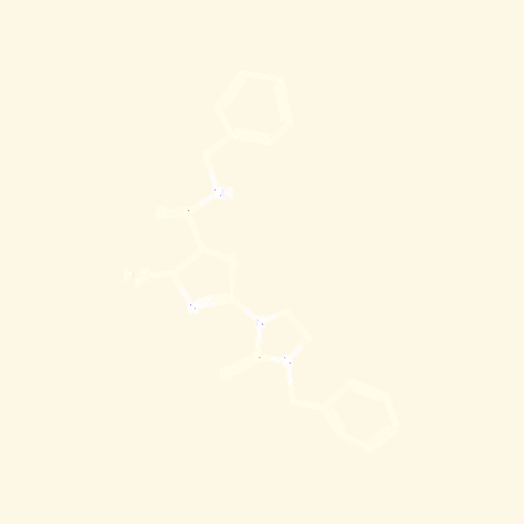 CC1N=C(N2CCN(Cc3ccccc3)C2=O)SC1C(=O)NCc1ccccc1